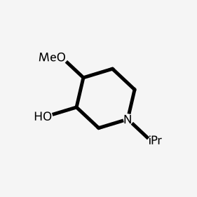 COC1CCN(C(C)C)CC1O